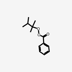 CC(C)C(C)(C)OOC(=O)c1ccccc1